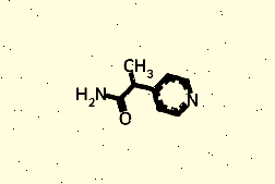 CC(C(N)=O)c1ccncc1